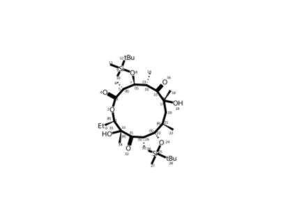 CC[C@H]1OC(=O)[C@H](C)[C@@H](O[Si](C)(C)C(C)(C)C)[C@H](C)C(=O)[C@](C)(O)C[C@@H](C)[C@H](O[Si](C)(C)C(C)(C)C)[C@H](C)C(=O)[C@]1(C)O